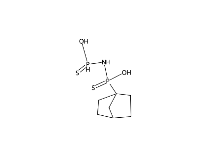 O[PH](=S)NP(O)(=S)C12CCC(CC1)C2